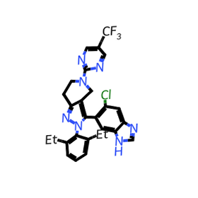 CCc1cccc(CC)c1-n1nc2c(c1-c1cc3[nH]cnc3cc1Cl)CN(c1ncc(C(F)(F)F)cn1)CC2